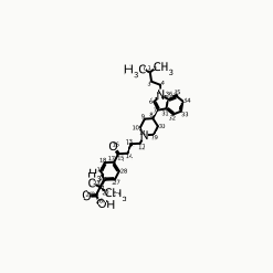 CC(C)CCn1cc(C2CCN(CCCC(=O)c3ccc(C(C)(C)C(=O)O)cc3)CC2)c2ccccc21